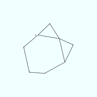 C1C[C]2CC23CC3C1